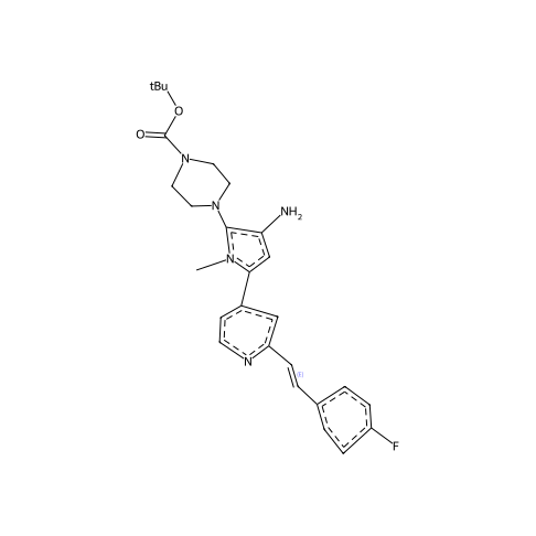 Cn1c(-c2ccnc(/C=C/c3ccc(F)cc3)c2)cc(N)c1N1CCN(C(=O)OC(C)(C)C)CC1